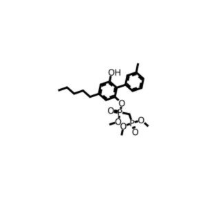 CCCCCc1cc(O)c(-c2cccc(C)c2)c(OP(=O)(CP(=O)(OC)OC)OC)c1